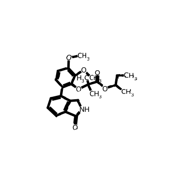 CCC(C)OC(=O)C(C)(C)Oc1c(-c2cccc3c2CNC3=O)ccc(OC)c1OC